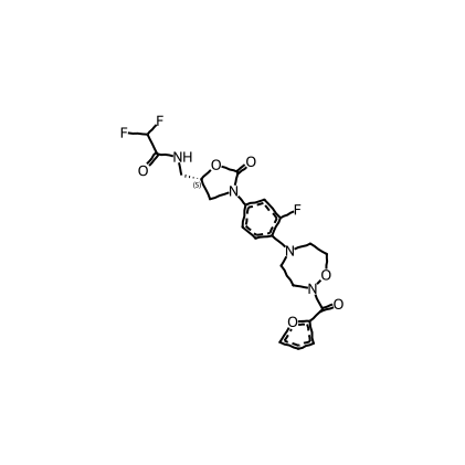 O=C(NC[C@H]1CN(c2ccc(N3CCON(C(=O)c4ccco4)CC3)c(F)c2)C(=O)O1)C(F)F